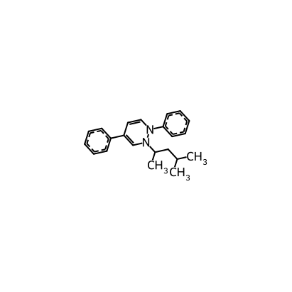 CC(C)CC(C)N1C=C(c2ccccc2)C=CN1c1ccccc1